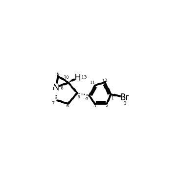 Brc1ccc([C@@H]2CC[N@]3C[C@H]23)cc1